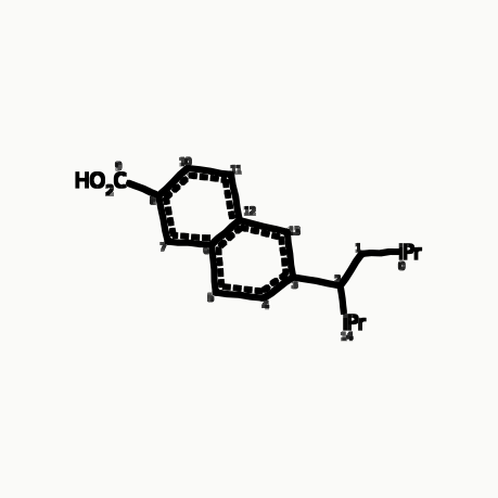 CC(C)CC(c1ccc2cc(C(=O)O)ccc2c1)C(C)C